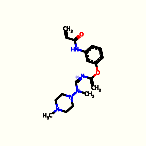 C=CC(=O)Nc1cccc(OC(=C)/N=C\N(C)N2CCN(C)CC2)c1